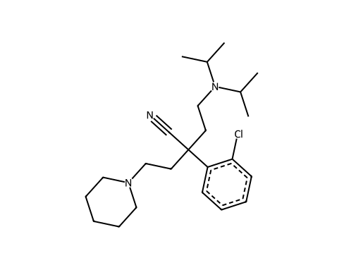 CC(C)N(CCC(C#N)(CCN1CCCCC1)c1ccccc1Cl)C(C)C